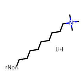 CCCCCCCCCCCCCCCCCC[N+](C)(C)C.[LiH]